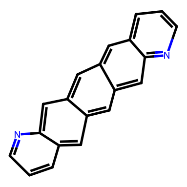 c1cnc2cc3cc4cc5cccnc5cc4cc3cc2c1